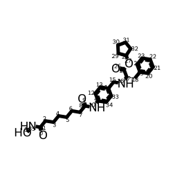 O=C(CCCCCCC(=O)Nc1ccc(CN[C@@H](Cc2ccccc2)C(=O)OC2CCCC2)cc1)NO